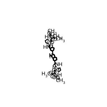 COC(=O)N[C@H](C(=O)N1CCC[C@H]1c1ncc(-c2ccc3cc(-c4ccc5nc([C@@H]6CCCN6C(=O)[C@@H](NC(=O)OC)[C@@H](C)OC)[nH]c5c4)nnc3c2)[nH]1)[C@@H](C)OC